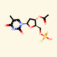 CC(=O)O[C@H]1C[C@H](n2cc(C)c(=O)[nH]c2=O)O[C@@H]1COP(O)(=S)S